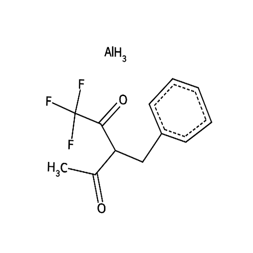 CC(=O)C(Cc1ccccc1)C(=O)C(F)(F)F.[AlH3]